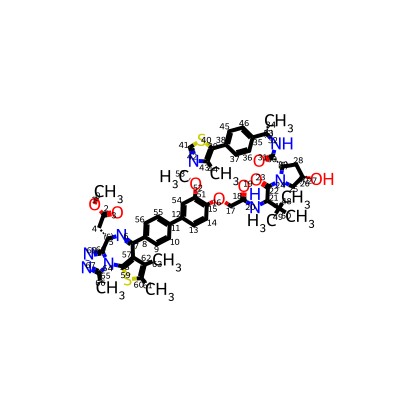 COC(=O)C[C@@H]1N=C(c2ccc(-c3ccc(OCC(=O)NC(C(=O)N4C[C@H](O)C[C@H]4C(=O)N[C@@H](C)c4ccc(-c5scnc5C)cc4)C(C)(C)C)c(OC)c3)cc2)c2c(sc(C)c2C)-n2c(C)nnc21